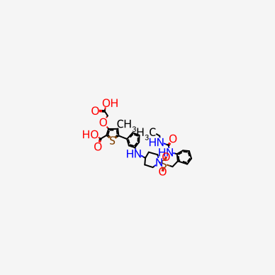 CCNC(=O)Nc1ccccc1CS(=O)(=O)N1CCC(Nc2cccc(-c3sc(C(=O)O)c(OCC(=O)O)c3C)c2)CC1